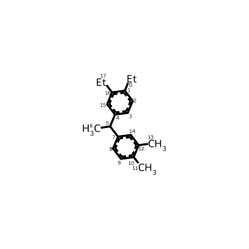 CCc1ccc(C(C)c2ccc(C)c(C)c2)cc1CC